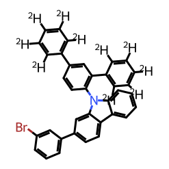 [2H]c1c([2H])c([2H])c(-c2ccc(-n3c4ccccc4c4ccc(-c5cccc(Br)c5)cc43)c(-c3c([2H])c([2H])c([2H])c([2H])c3[2H])c2)c([2H])c1[2H]